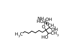 CCCCCCCC(OP(=O)(O)O)(C(C)O)C(C)O.N